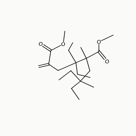 C=C(CC(CC)(CC)C(C)(CC(C)(CC)CC)C(=O)OC)C(=O)OC